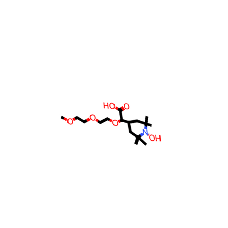 COCCOCCOC(C(=O)O)C1CC(C)(C)N(O)C(C)(C)C1